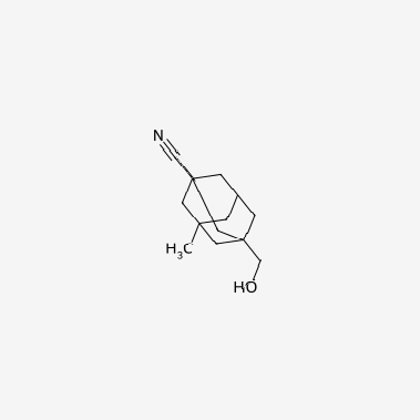 CC12CC3CC(C#N)(C1)CC(CO)(C3)C2